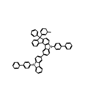 CC1C=C(C2(c3ccccc3)c3ccccc3-c3c2ccc2c3c3cc(-c4ccc5c(c4)c4ccccc4n5-c4ccc(-c5ccccc5)cc4)ccc3n2-c2ccc(-c3ccccc3)cc2)C=CC1